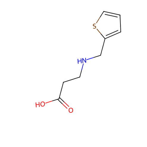 O=C(O)CCNCc1cccs1